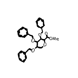 COC(=O)C1OCC(OCc2ccccc2)C(OCc2ccccc2)C1OCc1ccccc1